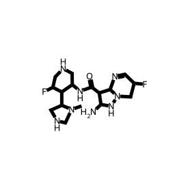 CN1CNCC1C1C(F)CNCC1NC(=O)C1C(N)NN2CC(F)C=NC12